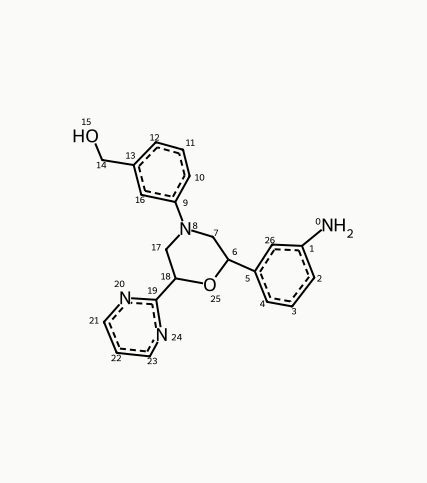 Nc1cccc(C2CN(c3cccc(CO)c3)CC(c3ncccn3)O2)c1